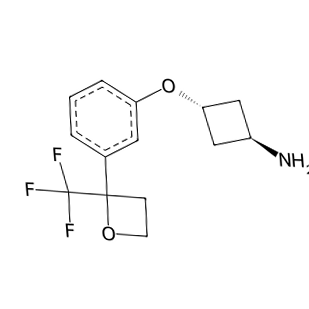 N[C@H]1C[C@H](Oc2cccc(C3(C(F)(F)F)CCO3)c2)C1